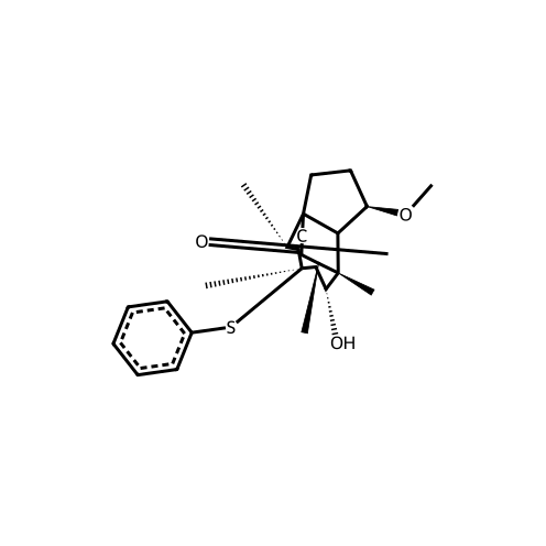 CO[C@@H]1CCC23CC[C@@H](C)[C@](C)(C12)[C@H](O)C[C@@](C)(Sc1ccccc1)C(=O)[C@@H]3C